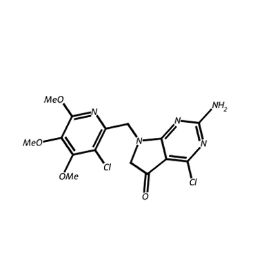 COc1nc(CN2CC(=O)c3c(Cl)nc(N)nc32)c(Cl)c(OC)c1OC